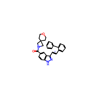 O=C(c1ccc2[nH]nc(/C=C/c3ccccc3-c3ccccc3)c2c1)N1CC2(CCOCC2)C1